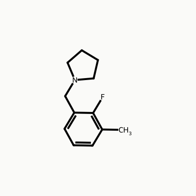 Cc1cccc(CN2CCCC2)c1F